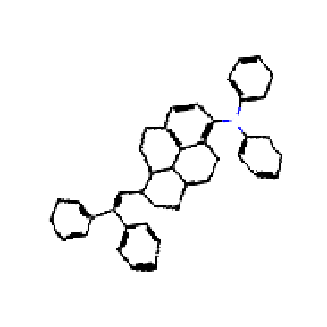 C1=CCCC(N(C2=CC=CCC2)c2ccc3c4c2CCC2CCC(/C=C(/C5=CCCC=C5)c5ccccc5)C(CC3)C42)=C1